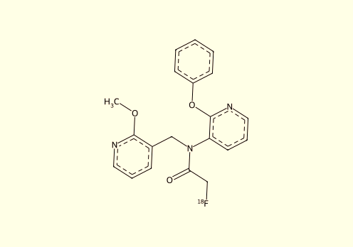 COc1ncccc1CN(C(=O)C[18F])c1cccnc1Oc1ccccc1